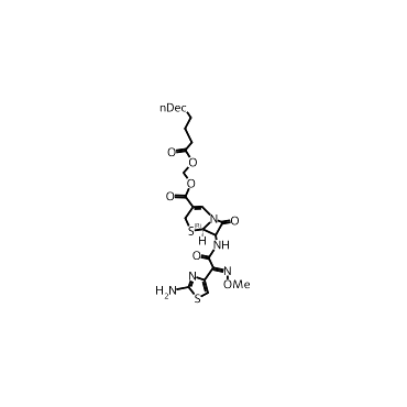 CCCCCCCCCCCCCC(=O)OCOC(=O)C1=CN2C(=O)C(NC(=O)C(=NOC)c3csc(N)n3)[C@H]2SC1